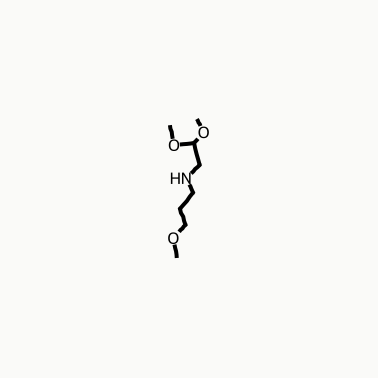 COCCCNCC(OC)OC